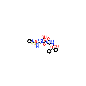 O=C(O)NN(CCNS(=O)(=O)c1nc2ccccc2s1)C(=O)Cn1ccc(NC(O)OC(c2ccccc2)c2ccccc2)nc1=O